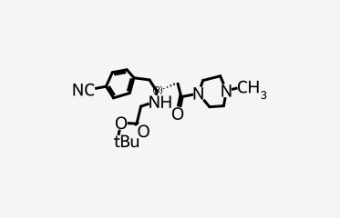 CN1CCN(C(=O)C[C@@H](Cc2ccc(C#N)cc2)NCC(=O)OC(C)(C)C)CC1